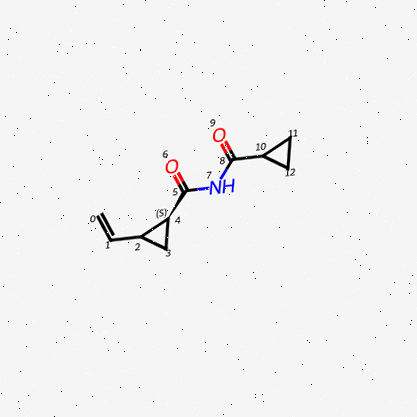 C=CC1C[C@@H]1C(=O)NC(=O)C1CC1